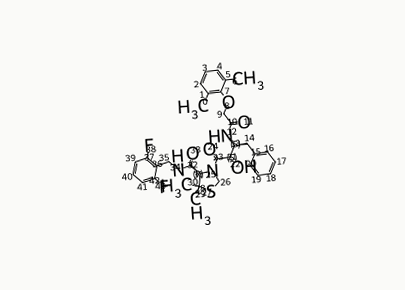 Cc1cccc(C)c1OCC(=O)N[C@@H](Cc1ccccc1)[C@H](O)C(=O)N1CSC(C)(C)[C@H]1C(=O)NCc1c(F)cccc1F